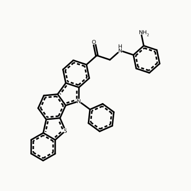 Nc1ccccc1NCC(=O)c1ccc2c3ccc4c5ccccc5sc4c3n(-c3ccccc3)c2c1